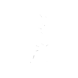 C=C1C[C@H](OC(=O)N2CCC(N(c3cc(C#CC(C)(C)C)sc3C(=O)O)C(=O)[C@H]3CC[C@H](C)CC3)CC2)CN1